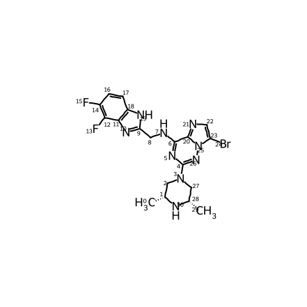 C[C@@H]1CN(c2nc(NCc3nc4c(F)c(F)ccc4[nH]3)c3ncc(Br)n3n2)C[C@H](C)N1